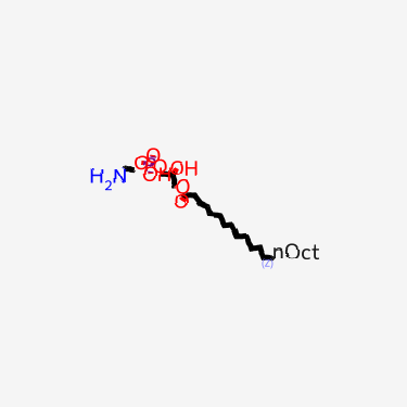 CCCCCCCC/C=C\CCCCCCCCCCCC(=O)OCC(O)COP(=O)(O)OCCN